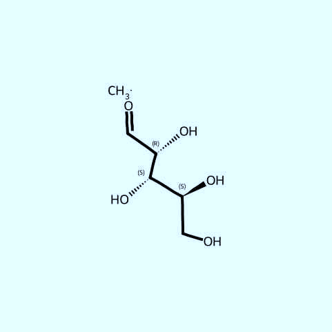 O=C[C@H](O)[C@@H](O)[C@@H](O)CO.[CH3]